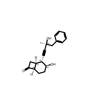 C[C@@](O)(C#C[C@H]1[C@@H]2CC(=O)[C@@H]2CC[C@@H]1O)Cc1ccccc1